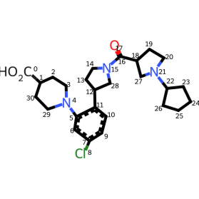 O=C(O)C1CCN(c2cc(Cl)ccc2C2CCN(C(=O)C3CCN(C4CCCC4)C3)C2)CC1